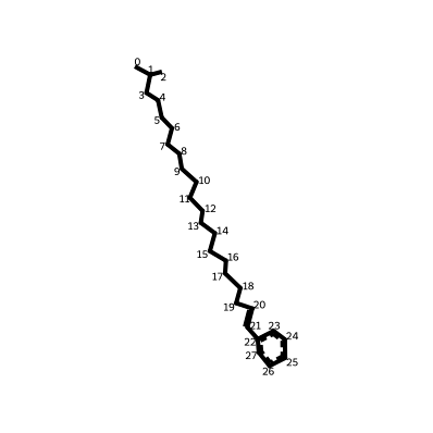 CC(C)CCCCCCCCCCCCCCCCCC=Cc1ccccc1